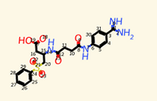 N=C(N)c1ccc(NC(=O)CCC(=O)NC(CC(=O)O)CS(=O)(=O)c2ccccc2)cc1